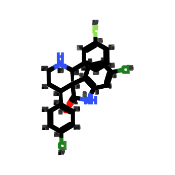 O=C1Nc2cc(Cl)ccc2[C@@]12C(c1cccc(F)c1)NCC[C@@H]2c1ccc(Cl)cc1